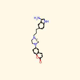 Nc1c[nH]c2ccc(CCCN3CCN(c4ccc5oc(=O)ccc5c4)CC3)cc12